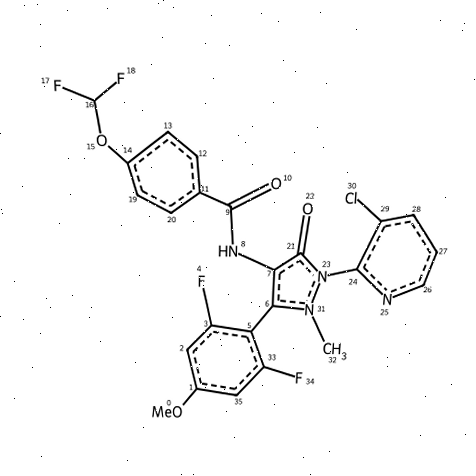 COc1cc(F)c(-c2c(NC(=O)c3ccc(OC(F)F)cc3)c(=O)n(-c3ncccc3Cl)n2C)c(F)c1